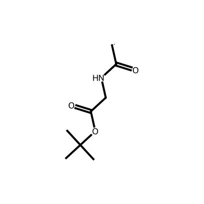 [CH2]C(=O)NCC(=O)OC(C)(C)C